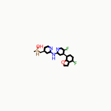 C[SH](O)Cc1ccnc(Nc2cc(-c3ccc(F)c4ccoc34)c(F)cn2)c1